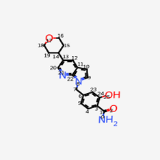 NC(=O)c1ccc(Cn2ccc3cc(C4CCOCC4)cnc32)cc1O